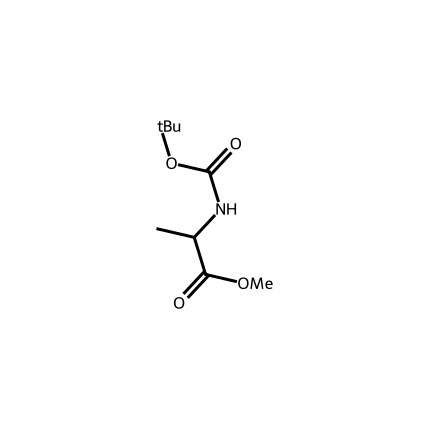 COC(=O)C(C)NC(=O)OC(C)(C)C